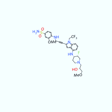 COC[C@H](O)CN1CC[C@H](Nc2cccc3c2cc(C#CCNc2ccc(S(N)(=O)=O)cc2OC)n3CC(F)(F)F)[C@H](F)C1